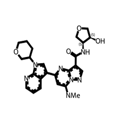 CNc1cc(-c2cn(C3CCCOC3)c3ncccc23)nc2c(C(=O)N[C@H]3COC[C@H]3O)cnn12